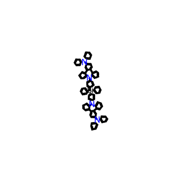 c1ccc(N(c2ccccc2)c2ccc3c(c2)-c2ccccc2N(c2ccc([Si](c4ccccc4)(c4ccccc4)c4ccc(N5c6ccccc6-c6ccc(N(c7ccccc7)c7ccccc7)cc6-c6ccccc65)cc4)cc2)c2ccccc2-3)cc1